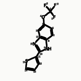 FC(F)(F)Oc1ccc2[nH]c(-c3cccs3)nc2c1